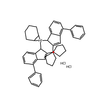 C1=C(C2CCCC2)[CH]([Hf]2([CH]3C(C4CCCC4)=Cc4c(-c5ccccc5)cccc43)[CH]3CCCC[CH]32)c2cccc(-c3ccccc3)c21.Cl.Cl